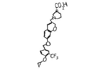 O=C(O)[C@@H]1CCCN(CC2=Cc3ccc(OCc4ccc(OC5CC5)c(C(F)(F)F)c4)cc3OC2)C1